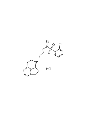 CCN(CCCCN1CCc2cccc3c2C1CC3)S(=O)(=O)c1ccccc1Cl.Cl